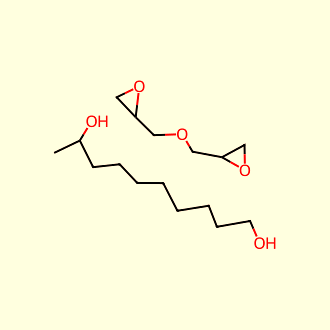 C(OCC1CO1)C1CO1.CC(O)CCCCCCCCO